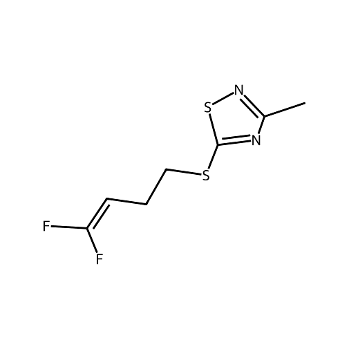 Cc1nsc(SCCC=C(F)F)n1